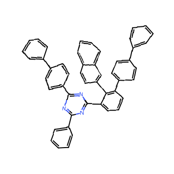 c1ccc(-c2ccc(-c3nc(-c4ccccc4)nc(-c4cccc(-c5ccc(-c6ccccc6)cc5)c4-c4ccc5ccccc5c4)n3)cc2)cc1